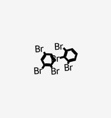 Brc1ccc(Br)c(Br)c1.Brc1cccc(Br)c1Br